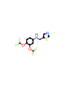 FC(F)Oc1ccc(NCc2cncs2)cc1OC(F)F